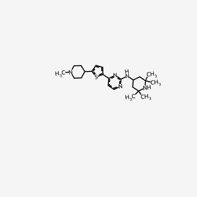 CN1CCC(c2ccc(-c3ccnc(NC4CC(C)(C)NC(C)(C)C4)n3)s2)CC1